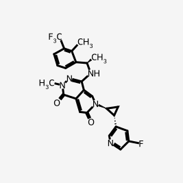 Cc1c([C@@H](C)Nc2nn(C)c(=O)c3cc(=O)n([C@H]4C[C@@H]4c4cncc(F)c4)cc23)cccc1C(F)(F)F